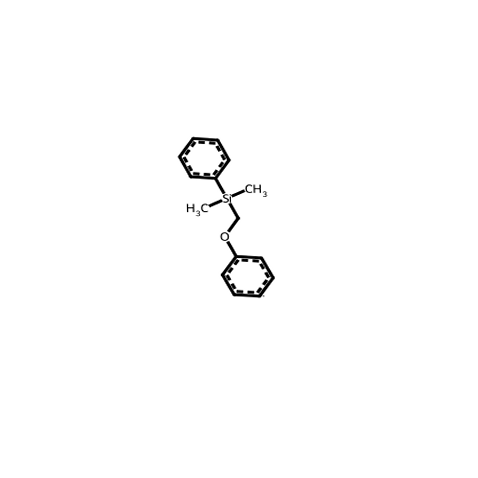 C[Si](C)(COc1cc[c]cc1)c1ccccc1